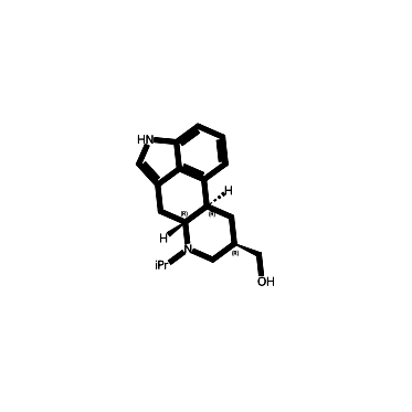 CC(C)N1C[C@H](CO)C[C@@H]2c3cccc4[nH]cc(c34)C[C@H]21